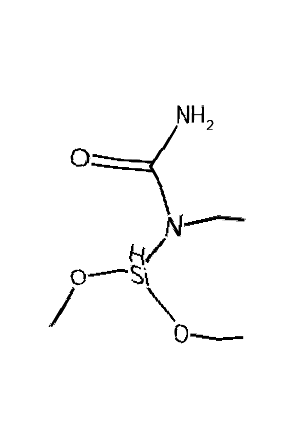 CO[SiH](OC)N(C)C(N)=O